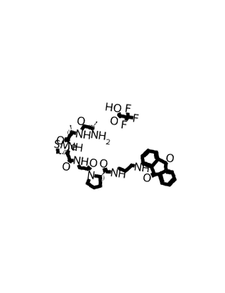 CSC[C@H](NC(=O)[C@H](C)NC(=O)[C@H](C)N)C(=O)NCC(=O)N1CCC[C@H]1C(=O)NCCCNc1cccc2c1C(=O)c1ccccc1C2=O.O=C(O)C(F)(F)F